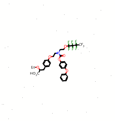 CCOC(Cc1ccc(OCCN(CCOC(F)(F)C(F)(F)C(F)(F)C(F)(F)F)C(=O)Oc2ccc(Oc3ccccc3)cc2)cc1)C(=O)O